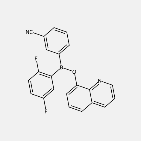 N#Cc1cccc(B(Oc2cccc3cccnc23)c2cc(F)ccc2F)c1